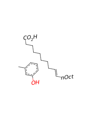 CCCCCCCCC=CCCCCCCCC(=O)O.Cc1cccc(O)c1